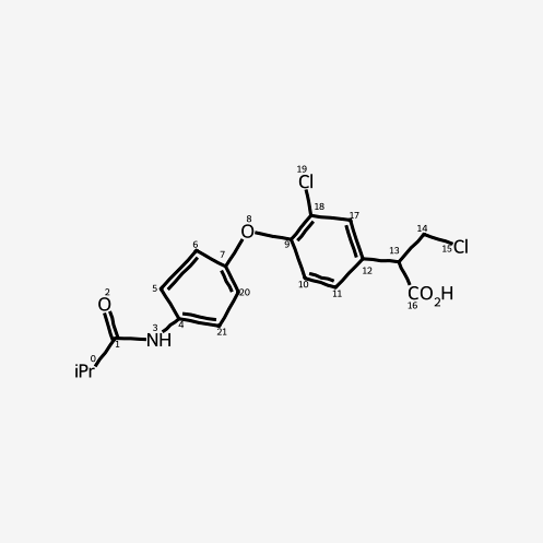 CC(C)C(=O)Nc1ccc(Oc2ccc(C(CCl)C(=O)O)cc2Cl)cc1